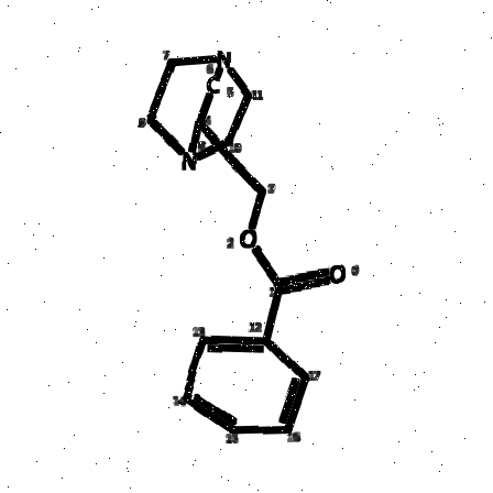 O=C(OCC1CN2CCN1CC2)c1ccccc1